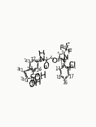 O=C(COc1cc(C(F)(F)F)nn1-c1ccccc1Cl)Nc1ccc2c(c1)S(O)(O)C=C2